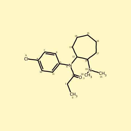 CCC(=O)N(c1ccc(Cl)cc1)C1CCCCCC1N(C)C